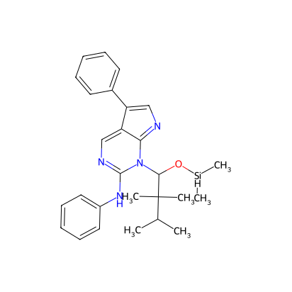 CC(C)C(C)(C)C(O[SiH](C)C)n1c(Nc2ccccc2)ncc2c(-c3ccccc3)cnc1-2